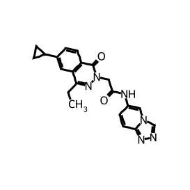 CCc1nn(CC(=O)Nc2ccc3nncn3c2)c(=O)c2ccc(C3CC3)cc12